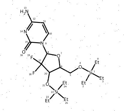 CC[Si](CC)(CC)OCC1OC(n2ccc(N)nc2=O)C(F)(F)C1O[Si](CC)(CC)CC